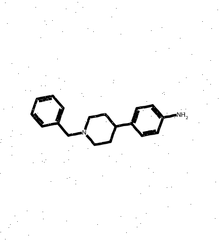 Nc1ccc(C2CCN(Cc3ccccc3)CC2)cc1